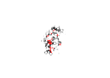 C=C1C[C@@H]2/C=C/C(O)C[C@H]3O[C@H]4[C@@H](O[Si](c5ccccc5)(c5ccccc5)C(C)(C)C)[C@H]5OC(CC[C@@H]5O[C@H]4[C@H]3O[Si](c3ccccc3)(c3ccccc3)C(C)(C)C)CC(=O)C[C@@H]3[C@@H](C)[C@@H](C[C@H](C)CO[Si](C)(C)C(C)(C)C)O[C@H]3CC3O[C@@H](CCC1O2)C[C@@H](C)C3=C